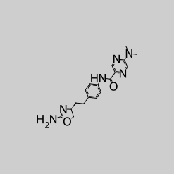 CN(C)c1cnc(C(=O)Nc2ccc(CC[C@H]3COC(N)=N3)cc2)cn1